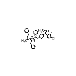 CN(CCc1ccccc1)c1oc(C(CC2CCC(C(c3ccc(Cl)cc3)N(C)C)CC2)N2CCCCC2)nc1Cc1ccccc1